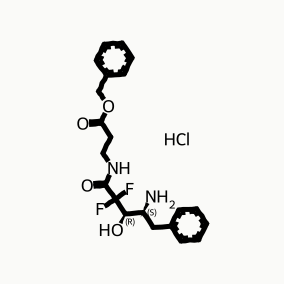 Cl.N[C@@H](Cc1ccccc1)[C@@H](O)C(F)(F)C(=O)NCCC(=O)OCc1ccccc1